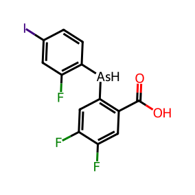 O=C(O)c1cc(F)c(F)cc1[AsH]c1ccc(I)cc1F